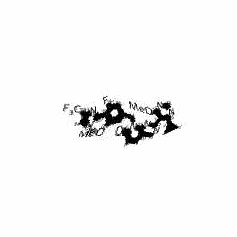 COc1cc(Cn2c(=O)ccc3cnc(-c4c(OC)ncnc4C4CC4)nc32)cc(F)c1-c1nc(C(F)(F)F)cn1C(C)C